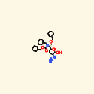 [N-]=[N+]=NC1CC[C@@H]([C@@H](COCc2ccccc2)N(Cc2ccccc2)C(=O)OCc2ccccc2)OC1O